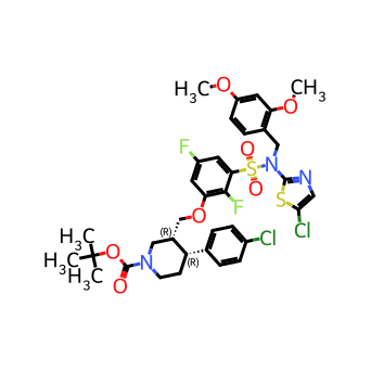 COc1ccc(CN(c2ncc(Cl)s2)S(=O)(=O)c2cc(F)cc(OC[C@H]3CN(C(=O)OC(C)(C)C)CC[C@H]3c3ccc(Cl)cc3)c2F)c(OC)c1